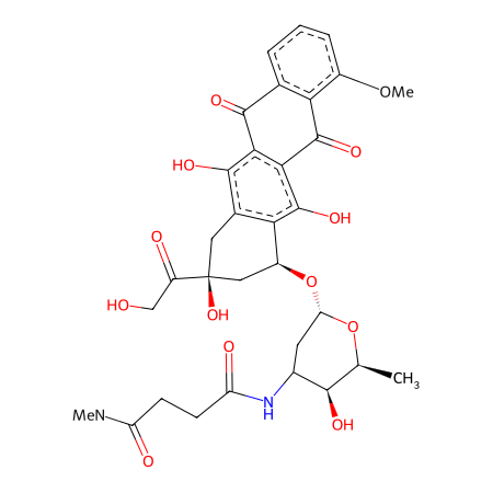 CNC(=O)CCC(=O)NC1C[C@H](O[C@H]2C[C@](O)(C(=O)CO)Cc3c(O)c4c(c(O)c32)C(=O)c2c(OC)cccc2C4=O)O[C@@H](C)[C@H]1O